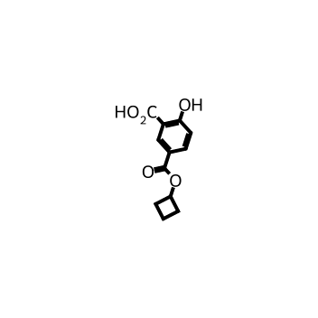 O=C(OC1CCC1)c1ccc(O)c(C(=O)O)c1